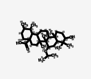 CC(C)OC1CC2C(C)(C)C(O)CCC2(C)C2CCC3C4C(C)C(C)CCC4(C(=O)O)CCC3(C)C12C